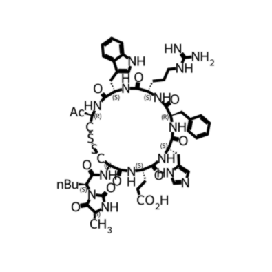 CCCC[C@@H](C(=O)N[C@H]1CSSC[C@@H](C(C)=O)NC(=O)[C@H](Cc2c[nH]c3ccccc23)NC(=O)[C@H](CCCNC(=N)N)NC(=O)[C@@H](Cc2ccccc2)NC(=O)[C@H](Cc2cnc[nH]2)NC(=O)[C@H](CCC(=O)O)NC1=O)N1C(=O)N[C@@H](C)C1=O